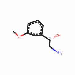 COc1cccc([C@H](O)CN)c1